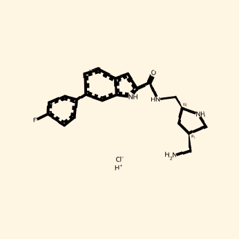 NC[C@@H]1CN[C@H](CNC(=O)c2cc3ccc(-c4ccc(F)cc4)cc3[nH]2)C1.[Cl-].[H+]